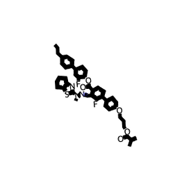 C=C(C)C(=O)OCCCOc1ccc(-c2ccc(C(=O)Oc3ccc(-c4ccc(CCC)cc4)cc3F)c(/C=N/N(C)c3nc4ccccc4s3)c2F)cc1